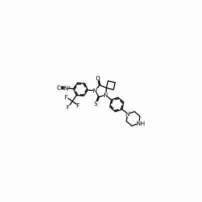 [C-]#[N+]c1ccc(N2C(=O)C3(CCC3)N(c3ccc(N4CCNCC4)cc3)C2=S)cc1C(F)(F)F